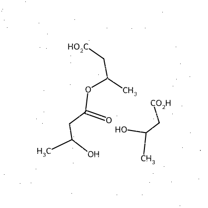 CC(O)CC(=O)O.CC(O)CC(=O)OC(C)CC(=O)O